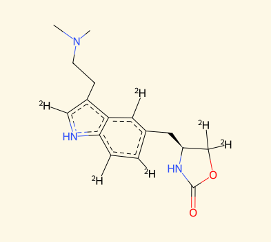 [2H]c1[nH]c2c([2H])c([2H])c(C[C@@H]3NC(=O)OC3([2H])[2H])c([2H])c2c1CCN(C)C